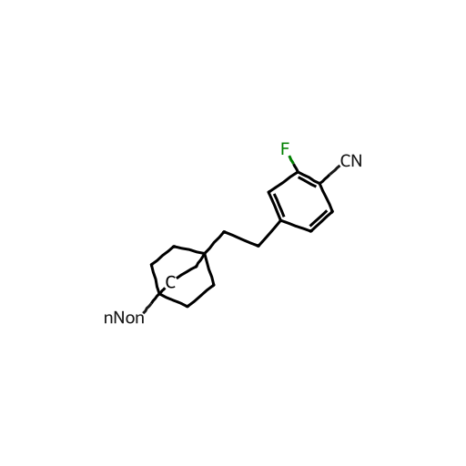 CCCCCCCCCC12CCC(CCc3ccc(C#N)c(F)c3)(CC1)CC2